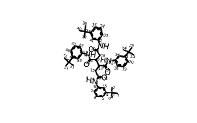 CC(C)(C)c1cccc(NC(=O)CC(C(=O)Nc2cccc(C(C)(C)C)c2)C(CC(=O)Nc2cccc(C(C)(C)C)c2)C(=O)Nc2cccc(C(C)(C)C)c2)c1